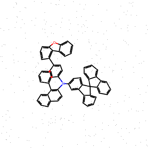 c1ccc(-c2c(N(c3ccc(-c4cccc5oc6ccccc6c45)cc3)c3ccc4c(c3)-c3ccccc3C43c4ccccc4-c4ccccc43)ccc3ccccc23)cc1